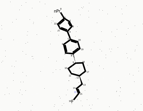 CCCc1ccc(-c2ccc([C@H]3CC[C@H](C/C=C/F)CC3)cc2)cc1